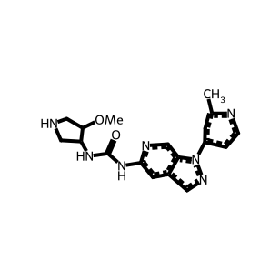 COC1CNCC1NC(=O)Nc1cc2cnn(-c3ccnc(C)c3)c2cn1